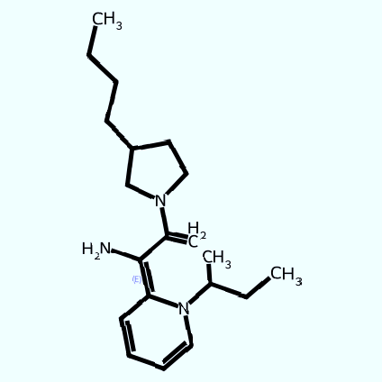 C=C(/C(N)=C1/C=CC=CN1C(C)CC)N1CCC(CCCC)C1